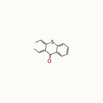 C/C=c1/c(=O)c2ccccc2s/c1=C/C